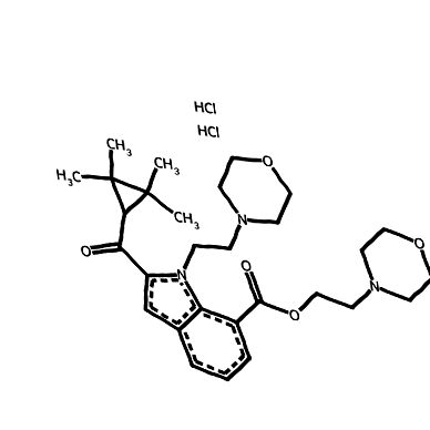 CC1(C)C(C(=O)c2cc3cccc(C(=O)OCCN4CCOCC4)c3n2CCN2CCOCC2)C1(C)C.Cl.Cl